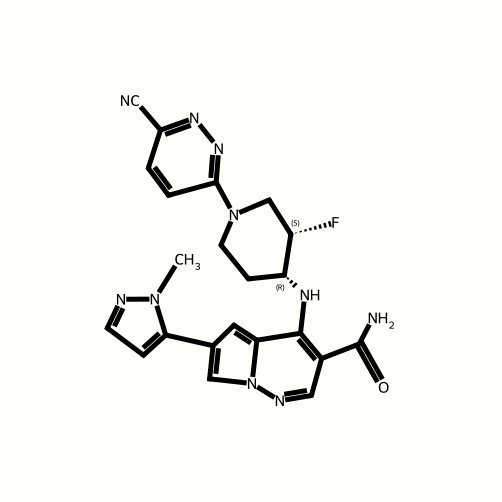 Cn1nccc1-c1cc2c(N[C@@H]3CCN(c4ccc(C#N)nn4)C[C@@H]3F)c(C(N)=O)cnn2c1